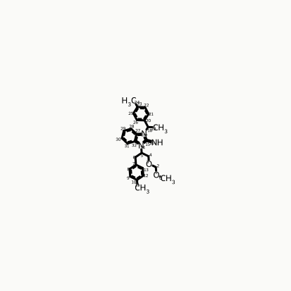 COCOCC(Cc1ccc(C)cc1)n1c(=N)n(C(C)c2ccc(C)cc2)c2ccccc21